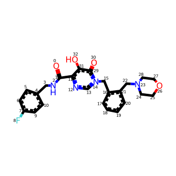 O=C(NCc1ccc(F)cc1)c1ncn(Cc2ccccc2CN2CCOCC2)c(=O)c1O